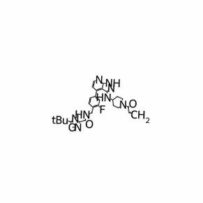 C=CC(=O)N1CCC(Nc2n[nH]c3nccc(-c4ccc(CNC(=O)c5noc(C(C)(C)C)n5)c(F)c4)c23)CC1